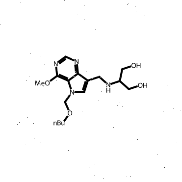 CCCCOCn1cc(CNC(CO)CO)c2ncnc(OC)c21